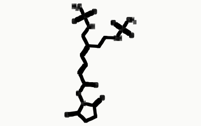 CS(=O)(=O)NCC/C(=C\C=C\C(=O)ON1C(=O)CCC1=O)CNS(C)(=O)=O